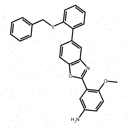 COc1ccc(N)cc1-c1nc2cc(-c3ccccc3SCc3ccccc3)ccc2o1